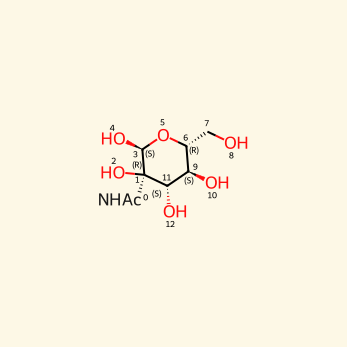 CC(=O)N[C@]1(O)[C@@H](O)O[C@H](CO)[C@@H](O)[C@@H]1O